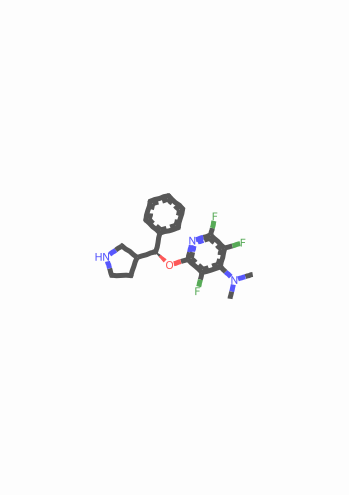 CN(C)c1c(F)c(F)nc(O[C@H](c2ccccc2)C2CCNC2)c1F